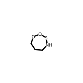 C1CNSOOC1